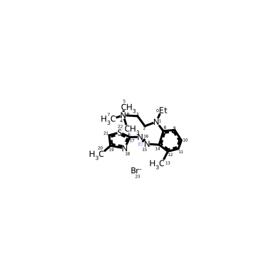 CCN(CC[N+](C)(C)C)c1cccc(C)c1/N=N/c1nc(C)cs1.[Br-]